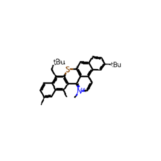 Cc1ccc2c(CC(C)(C)C)c3c(c(C)c2c1)-c1c2c(cc4ccc(C(C)(C)C)cc4c2cc[n+]1C)S3